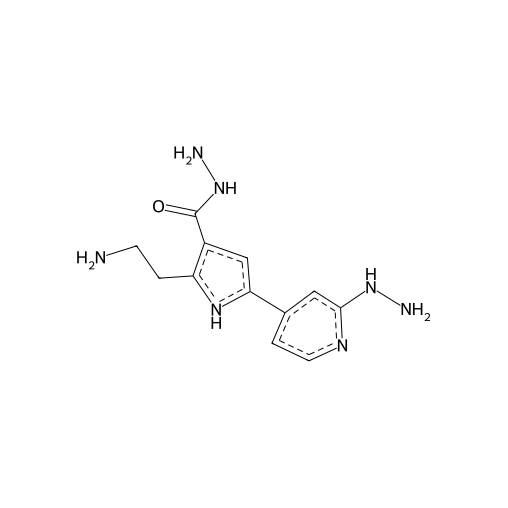 NCCc1[nH]c(-c2ccnc(NN)c2)cc1C(=O)NN